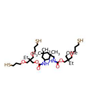 CCC(COC)(COCCCS)COC(=O)NCC1(C)CC(NC(=O)OCC(CC)(COCCCS)COCCCS)CC(C)(C)C1